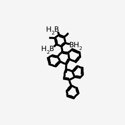 Bc1c(C)c(B)c(-c2c3ccccc3c(-c3ccc(-c4ccccc4)c4ccccc34)c3ccccc23)c(B)c1C